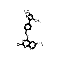 Cc1cnc2nc(Cl)nc(OCc3ccc(-c4nc(C(F)(F)F)cn4C)cc3)c2c1